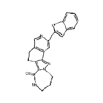 O=C1NCCCn2nc3c(c21)CCc1cnc(-c2cc4ccccc4o2)cc1-3